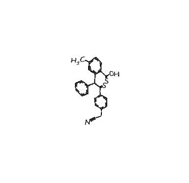 Cc1ccc(C(O)=S)c(C(C(=S)c2ccc(CC#N)cc2)c2ccccc2)c1